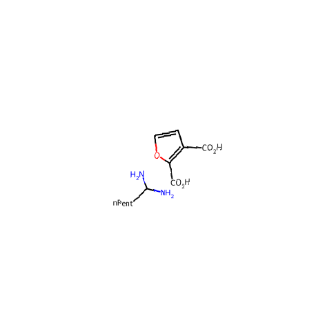 CCCCCC(N)N.O=C(O)c1ccoc1C(=O)O